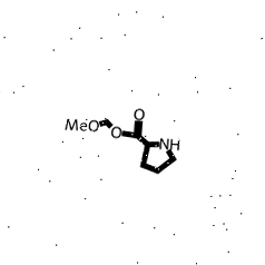 COCOC(=O)C1CCCN1